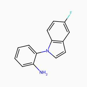 Nc1ccccc1-n1ccc2cc(F)ccc21